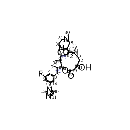 C/C(=C\c1cc(F)cc(-n2ccnc2)c1)[C@H]1OC(=O)C[C@H](O)CC[C@H](C)[C@@H](C2CN(C)CCN2C(=O)O)/C=C/[C@@H]1C